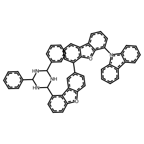 c1ccc(C2NC(c3ccccc3)NC(c3cccc4oc5ccc(-c6cccc7c6oc6c(-n8c9ccccc9c9ccccc98)cccc67)cc5c34)N2)cc1